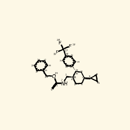 C=C(NC[C@@H]1CCC(=C2CC2)C[C@H]1c1ccc(C(F)(F)F)cc1)OCc1ccccc1